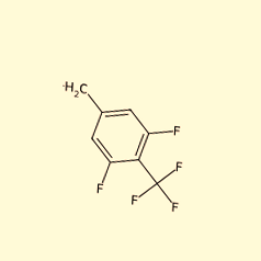 [CH2]c1cc(F)c(C(F)(F)F)c(F)c1